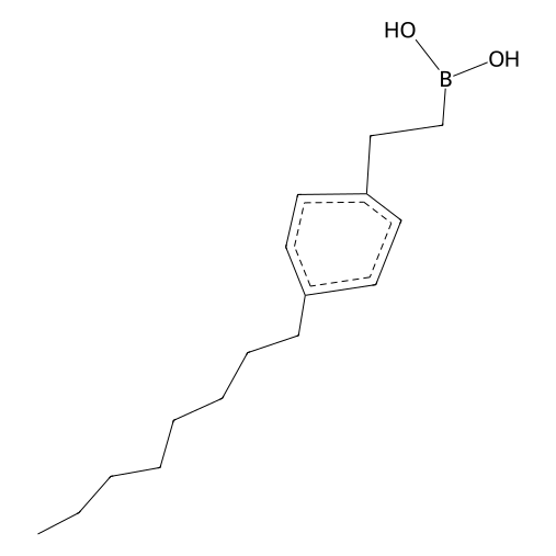 CCCCCCCCc1ccc(CCB(O)O)cc1